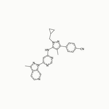 Cc1c(-c2ccc(C#N)cc2)nn(CC2CC2)c1Nc1cc(-n2nc(C)c3ccncc32)ncn1